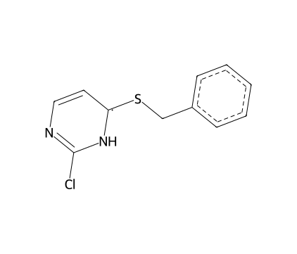 ClC1=NC=C[C](SCc2ccccc2)N1